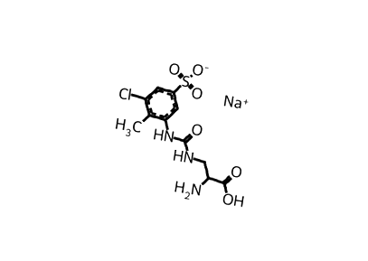 Cc1c(Cl)cc(S(=O)(=O)[O-])cc1NC(=O)NCC(N)C(=O)O.[Na+]